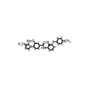 COc1cc(C(=O)Nc2cccn(Cc3ccc(C)cc3)c2=O)ccc1-n1cnc(C)c1